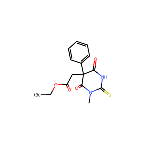 CN1C(=O)C(CC(=O)OCC(C)(C)C)(c2ccccc2)C(=O)NC1=S